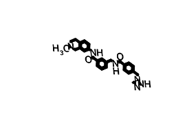 CN1CCc2ccc(NC(=O)c3cccc(CNC(=O)c4ccc(Cn5cn[nH]5)cc4)c3)cc2C1